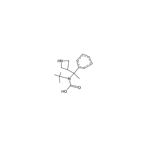 CC(C)(C)N(C(=O)O)C(C)(c1ccccc1)C1CNC1